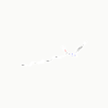 CC#CNC(=O)CCCCCCCC